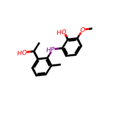 COc1cccc(Pc2c(C)cccc2C(C)O)c1O